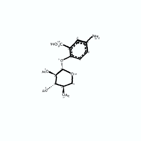 CC(=O)O[C@@H]1[C@@H](OC(C)=O)[C@H](Oc2ccc(N)cc2C(=O)O)OC[C@H]1OC(C)=O